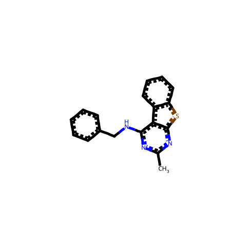 Cc1nc(NCc2ccccc2)c2c(n1)sc1ccccc12